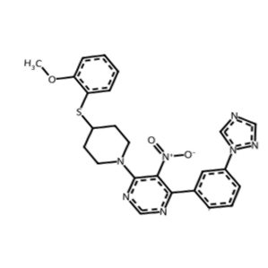 COc1ccccc1SC1CCN(c2ncnc(-c3[c]ccc(-n4cncn4)c3)c2[N+](=O)[O-])CC1